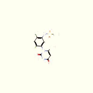 Cc1cc(=O)[nH]c(=O)n1-c1cc(NS(C)(=O)=O)c(Cl)cc1F